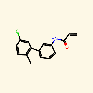 C=CC(=O)Nc1cccc(-c2cc(Cl)ccc2C)c1